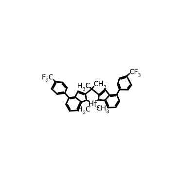 CC1(C)C2=Cc3c(-c4ccc(C(F)(F)F)cc4)cccc3[CH]2[Hf]([CH3])([CH3])[CH]2C1=Cc1c(-c3ccc(C(F)(F)F)cc3)cccc12